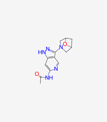 CC(=O)Nc1cc2[nH]nc(N3CC4CC(C3)O4)c2cn1